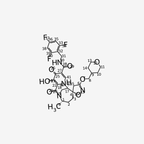 C[C@H]1CC[C@]2(CC(OCC3CCOCC3)=NO2)[C@H]2CN1C(=O)c1c(O)c(=O)c(C(=O)NCc3c(F)cc(F)cc3F)cn12